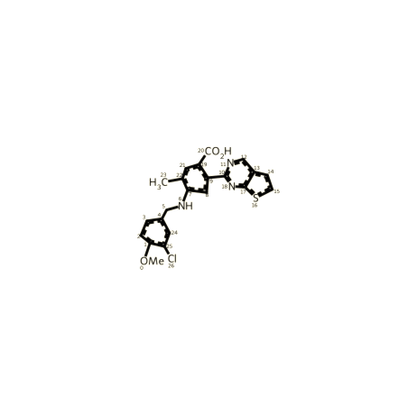 COc1ccc(CNc2cc(-c3ncc4ccsc4n3)c(C(=O)O)cc2C)cc1Cl